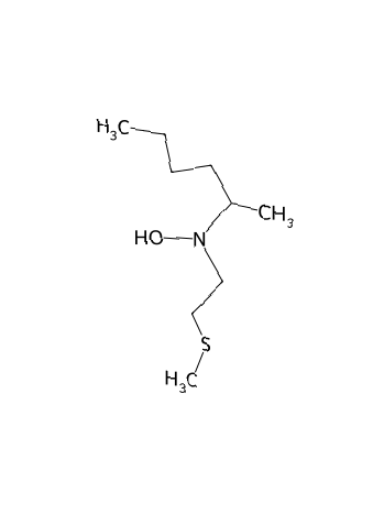 CCCCC(C)N(O)CCSC